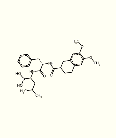 COc1cc2c(cc1OC)CC(C(=O)N[C@@H](Cc1ccccc1)C(=O)NC(CC(C)C)B(O)O)CC2